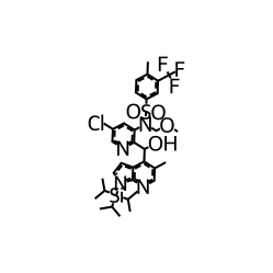 COCN(c1cc(Cl)cnc1C(O)c1c(C)cnc2c1ccn2[Si](C(C)C)(C(C)C)C(C)C)S(=O)(=O)c1ccc(C)c(C(F)(F)F)c1